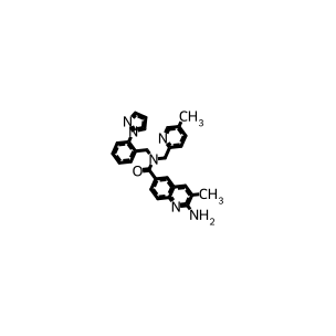 Cc1ccc(CN(Cc2ccccc2-n2cccn2)C(=O)c2ccc3nc(N)c(C)cc3c2)nc1